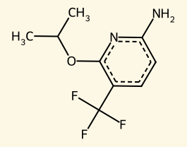 CC(C)Oc1nc(N)ccc1C(F)(F)F